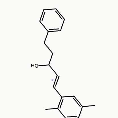 Cc1ccc(C)c(/C=C/C(O)CCc2ccccc2)c1